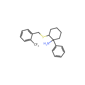 NC1(c2ccccc2)CCCCC1SCc1ccccc1C(F)(F)F